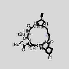 C#C[C@@H]1C[C@H]2CC/C=C/Cn3c(nc4cc(Cl)ccc4c3=O)O[C@H]3CN(C(=O)[C@H](C(C)(C)C)NC(=O)O[C@@H]2C1)[C@H](C(=O)OC(C)(C)C)[C@@H]3C